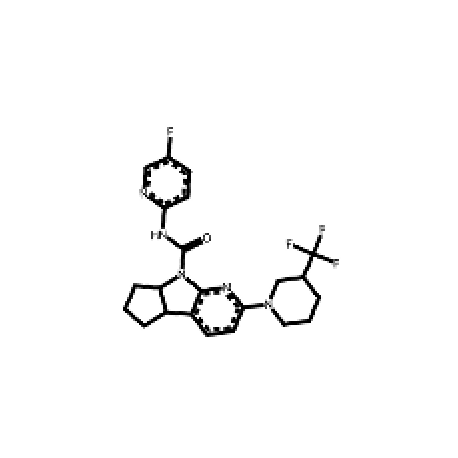 O=C(Nc1ccc(F)cn1)N1c2nc(N3CCCC(C(F)(F)F)C3)ccc2C2CCCC21